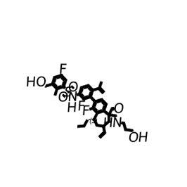 C=CC1C[C@H](CCC)c2c(ccc(-c3c(C(=C)C)ccc(NS(=O)(=O)c4cc(F)cc(CO)c4C)c3F)c2F)C(C=O)(CNCCCO)C1